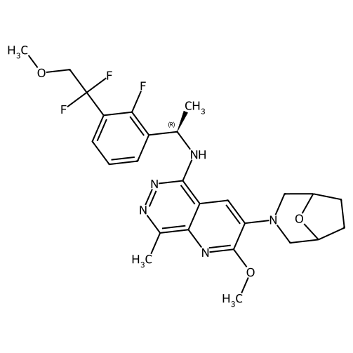 COCC(F)(F)c1cccc([C@@H](C)Nc2nnc(C)c3nc(OC)c(N4CC5CCC(C4)O5)cc23)c1F